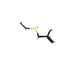 C=C(C)CSCC